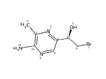 Cc1nc([C@@H](O)CBr)cnc1N